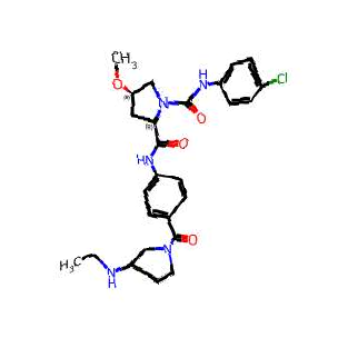 CCNC1CCN(C(=O)c2ccc(NC(=O)[C@H]3C[C@@H](OC)CN3C(=O)Nc3ccc(Cl)cc3)cc2)C1